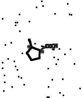 C[C@@H]1CCC[C@H]1C(=O)O